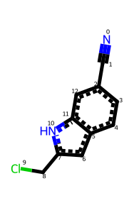 N#Cc1ccc2cc(CCl)[nH]c2c1